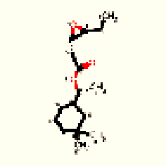 CC[C@@H]1O[C@H]1CC(=O)O[C@H](C)C1CCCC(C)(C)C1